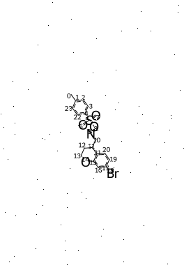 Cc1ccc(S(=O)(=O)ON=CC2CCOc3cc(Br)ccc32)cc1